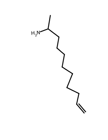 C=CCCCCCCCC(C)N